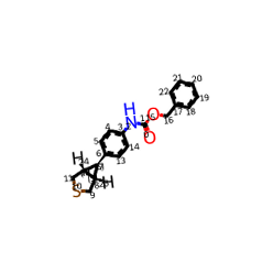 O=C(Nc1ccc([C@H]2[C@@H]3CSC[C@@H]32)cc1)OCc1ccccc1